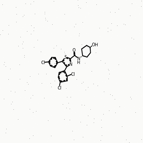 O=C(N[C@H]1CC[C@H](O)CC1)c1nc(-c2ccc(Cl)cc2Cl)c(-c2ccc(Cl)cc2)s1